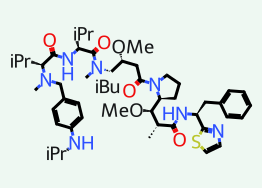 CC[C@H](C)[C@@H]([C@@H](CC(=O)N1CCC[C@H]1[C@H](OC)[C@@H](C)C(=O)N[C@@H](Cc1ccccc1)c1nccs1)OC)N(C)C(=O)[C@@H](NC(=O)[C@H](C(C)C)N(C)Cc1ccc(NC(C)C)cc1)C(C)C